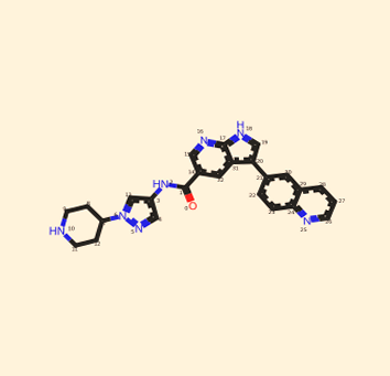 O=C(Nc1cnn(C2CCNCC2)c1)c1cnc2[nH]cc(-c3ccc4ncccc4c3)c2c1